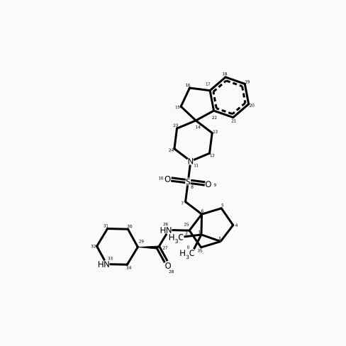 CC1(C)C2CCC1(CS(=O)(=O)N1CCC3(CCc4ccccc43)CC1)C(NC(=O)[C@@H]1CCCNC1)C2